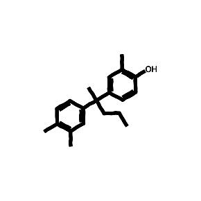 CCCC(C)(c1ccc(C)c(C)c1)c1ccc(O)c(C)c1